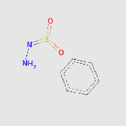 NN=S(=O)=O.c1ccccc1